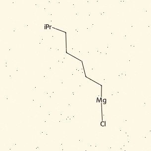 CC(C)CCCC[CH2][Mg][Cl]